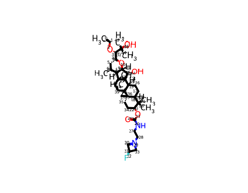 CCO[C@@H]([C@H]1C[C@@H](C)[C@H]2[C@H](O1)[C@H](O)[C@@]1(C)[C@@H]3CC[C@H]4C(C)(C)[C@@H](OC(=O)NCCN5CC(F)C5)CC[C@@]45C[C@@]35CC[C@]21C)C(C)(C)O